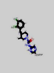 COc1cnc(NC(=O)N2CC/C(=C\c3cccc(Cl)c3F)C(C)C2)cn1